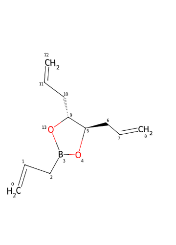 C=CCB1O[C@H](CC=C)[C@@H](CC=C)O1